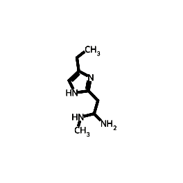 CCc1c[nH]c(CC(N)NC)n1